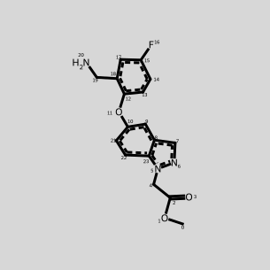 COC(=O)Cn1ncc2cc(Oc3ccc(F)cc3CN)ccc21